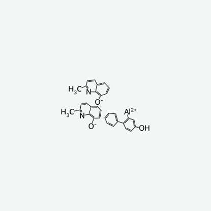 Cc1ccc2cccc([O-])c2n1.Cc1ccc2cccc([O-])c2n1.Oc1ccc(-c2ccccc2)[c]([Al+2])c1